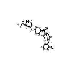 C=C/C=C(\C=C/N)CN1CCC(C(=O)N2CCN(Cc3ccccc3Cl)CC2)CC1